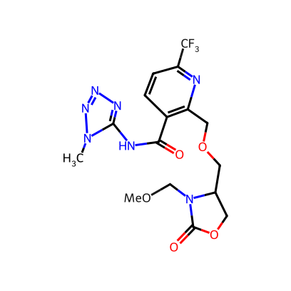 COCN1C(=O)OCC1COCc1nc(C(F)(F)F)ccc1C(=O)Nc1nnnn1C